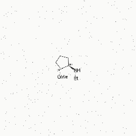 CCN[C@@H]1CCC[C@H]1OC